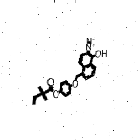 CCC(C)(C)C(=O)Oc1ccc(OCc2cccc3c2C=CC(=[N+]=[N-])C3O)cc1